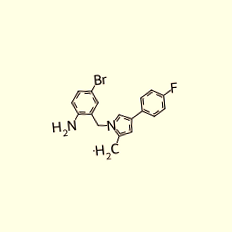 [CH2]c1cc(-c2ccc(F)cc2)cn1Cc1cc(Br)ccc1N